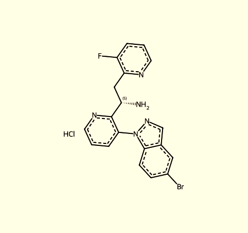 Cl.N[C@@H](Cc1ncccc1F)c1ncccc1-n1ncc2cc(Br)ccc21